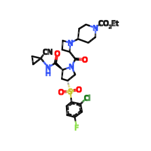 CCOC(=O)N1CCC(N2CCC2C(=O)N2C[C@H](S(=O)(=O)c3ccc(F)cc3Cl)C[C@H]2C(=O)NC2(C#N)CC2)CC1